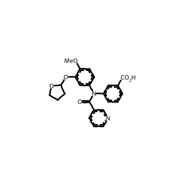 COc1ccc(N(C(=O)c2cccnc2)c2cccc(C(=O)O)c2)cc1OC1CCCO1